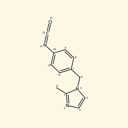 Cc1nccn1Cc1ccc(N=C=O)cc1